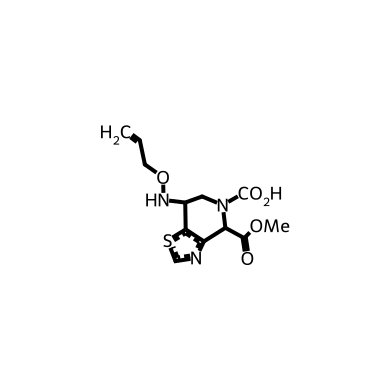 C=CCONC1CN(C(=O)O)C(C(=O)OC)c2ncsc21